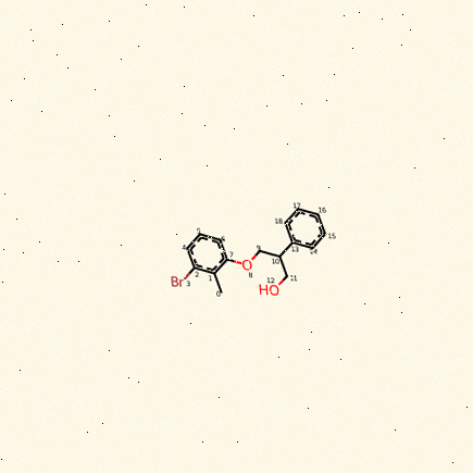 Cc1c(Br)cccc1OCC(CO)c1ccccc1